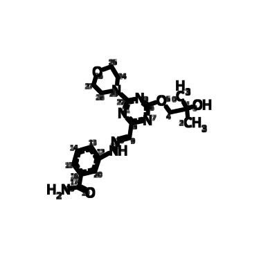 CC(C)(O)COc1nc(C=NNc2cccc(C(N)=O)c2)nc(N2CCOCC2)n1